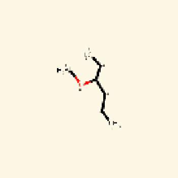 CCCC(CC)[O][AlH2]